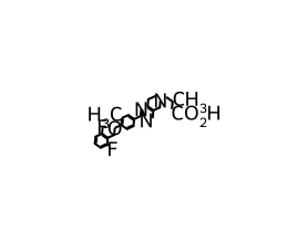 Cc1cc(-c2ncc3c(n2)CCN(CC(C)CC(=O)O)C3)ccc1OCc1c(F)cccc1F